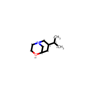 CC(C)C1CC2CN(CCO2)C1